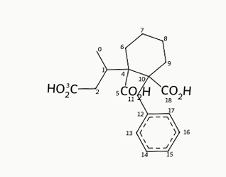 CC(CC(=O)O)C1(C(=O)O)CCCCC1(Cc1ccccc1)C(=O)O